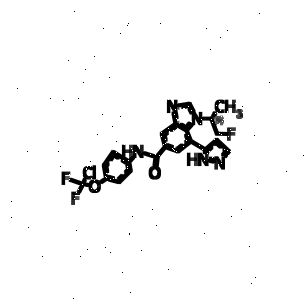 C[C@@H](CF)n1cnc2cc(C(=O)Nc3ccc(OC(F)(F)Cl)cc3)cc(-c3ccn[nH]3)c21